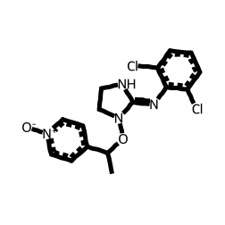 CC(ON1CCN/C1=N\c1c(Cl)cccc1Cl)c1cc[n+]([O-])cc1